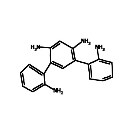 Nc1ccccc1-c1cc(-c2ccccc2N)c(N)cc1N